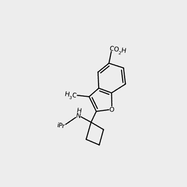 Cc1c(C2(NC(C)C)CCC2)oc2ccc(C(=O)O)cc12